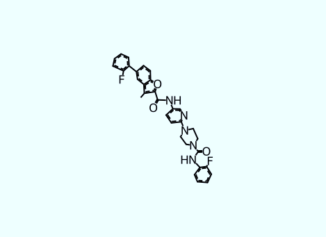 Cc1c(C(=O)Nc2ccc(N3CCN(C(=O)Nc4ccccc4F)CC3)nc2)oc2ccc(-c3ccccc3F)cc12